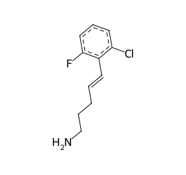 NCCCC=Cc1c(F)cccc1Cl